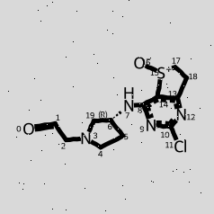 O=CCN1CC[C@@H](Nc2nc(Cl)nc3c2[S+]([O-])CC3)C1